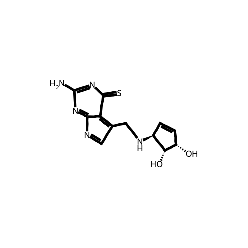 NC1=NC(=S)C2=C(CN[C@H]3C=C[C@H](O)[C@@H]3O)C=NC2=N1